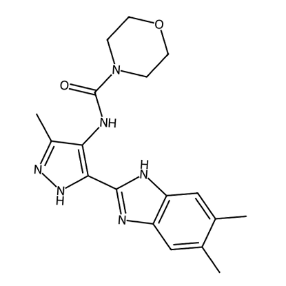 Cc1cc2nc(-c3[nH]nc(C)c3NC(=O)N3CCOCC3)[nH]c2cc1C